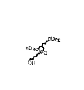 CCCCCCCCCCCCCCC(CCCCCCCCCCCC)CC(=O)OCCCCCCO